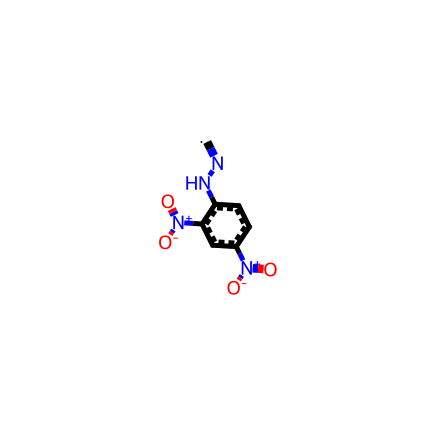 [CH]=NNc1ccc([N+](=O)[O-])cc1[N+](=O)[O-]